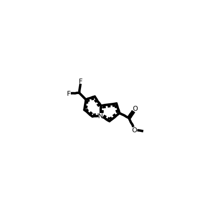 COC(=O)c1cc2cc(C(F)F)ccn2c1